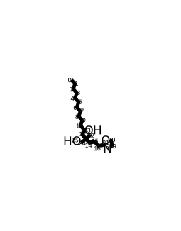 CCCCCCCCCCCCCC(C=CCC1=NCCO1)(CO)CO